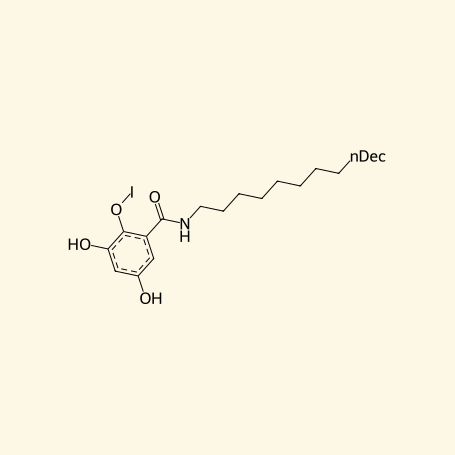 CCCCCCCCCCCCCCCCCCNC(=O)c1cc(O)cc(O)c1OI